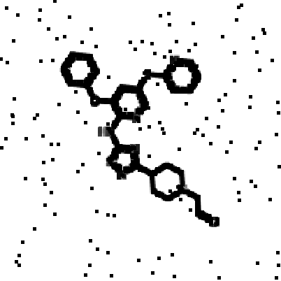 O=CCN1CCC(c2nsc(Nc3ncc(Sc4ccccn4)cc3Oc3ccccc3)n2)CC1